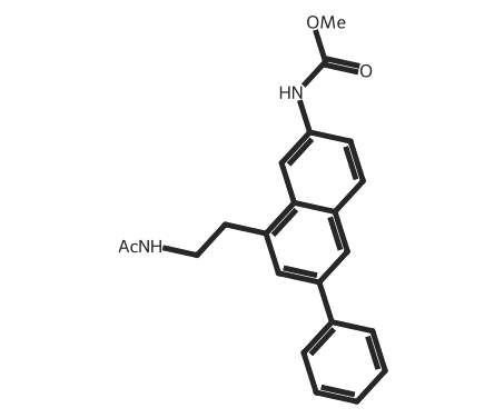 COC(=O)Nc1ccc2cc(-c3ccccc3)cc(CCNC(C)=O)c2c1